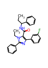 CCC(NC(=O)c1c(-c2cccc(F)c2)nc(-c2ccccc2)n1CC)c1ccccc1